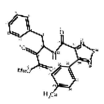 COC(=O)C(=O)C(Cc1ccccc1)NC(=O)c1nsnc1-c1ccc(C)cc1